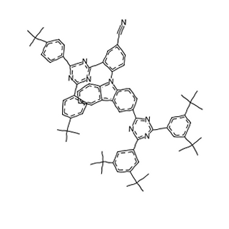 CC(C)(C)c1ccc(-c2nc(-c3ccc(C(C)(C)C)cc3)nc(-c3cc(C#N)ccc3-n3c4ccccc4c4cc(-c5nc(-c6cc(C(C)(C)C)cc(C(C)(C)C)c6)nc(-c6cc(C(C)(C)C)cc(C(C)(C)C)c6)n5)ccc43)n2)cc1